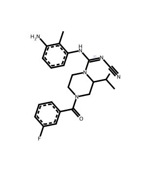 Cc1c(N)cccc1N/C(=N/C#N)N1CCN(C(=O)c2cccc(F)c2)CC1C(C)C